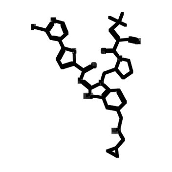 CC(C)(C)C=C(C#N)C(=O)N1CCCC1Cn1c(=NC(=O)c2ccc(-c3ccnc(F)c3)s2)[nH]c2cc(CNCC3CC3)ccc21